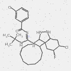 CC(C)(C)N/C(=N\C(=O)c1cccc(Cl)c1)NC1NNC2CC(Cl)C(F)CC21C1CCCCCCCCC1